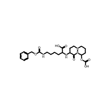 O=C(O)OC1CCCN2CCC(NC(CCCCNC(=O)OCc3ccccc3)C(=O)O)C(=O)N12